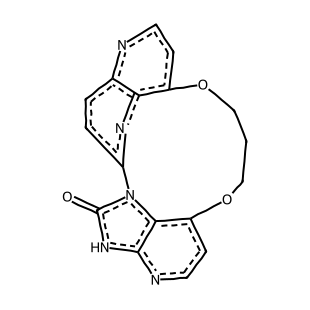 O=c1[nH]c2nccc3c2n1-c1ccc2nccc(c2n1)OCCCO3